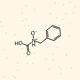 O=C(O)[NH+]([O-])Cc1ccccc1